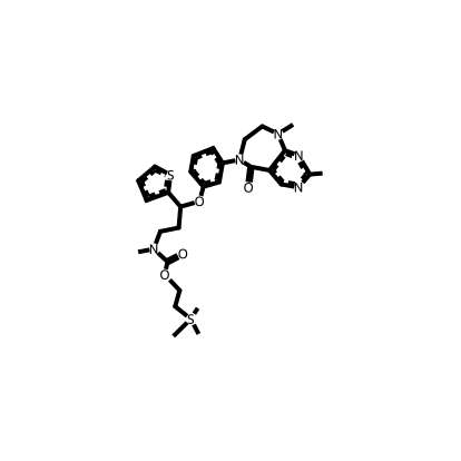 Cc1ncc2c(n1)N(C)CCN(c1cccc(OC(CCN(C)C(=O)OCCS(C)(C)C)c3cccs3)c1)C2=O